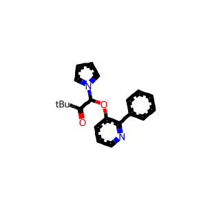 CC(C)(C)C(=O)C(Oc1cccnc1-c1ccccc1)n1cccc1